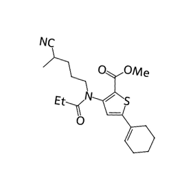 CCC(=O)N(CCCC(C)C#N)c1cc(C2=CCCCC2)sc1C(=O)OC